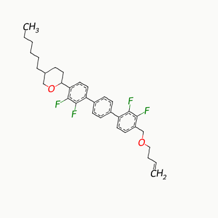 C=CCCOCc1ccc(-c2ccc(-c3ccc(C4CCC(CCCCCC)CO4)c(F)c3F)cc2)c(F)c1F